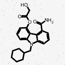 NC(=O)c1cccc2c1c1c(OC(=O)CO)cccc1n2CC1CCCCC1